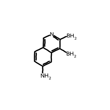 Bc1ncc2ccc(N)cc2c1B